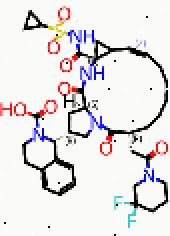 O=C1N[C@]2(C(=O)NS(=O)(=O)C3CC3)CC2/C=C\CCCCC[C@H](CC(=O)N2CCCC(F)(F)C2)C(=O)N2C[C@H](C3c4ccccc4CCN3C(=O)O)C[C@@H]12